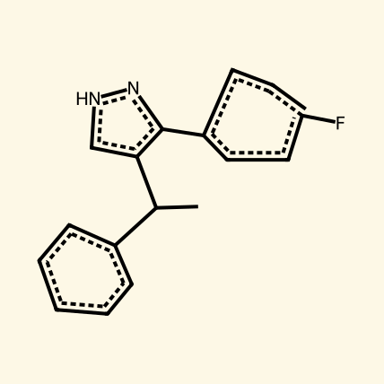 CC(c1ccccc1)c1c[nH]nc1-c1ccc(F)cc1